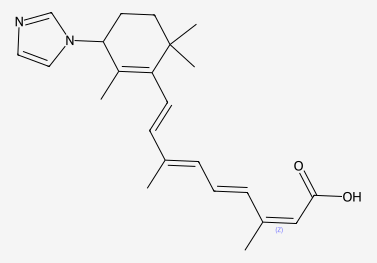 CC(C=CC1=C(C)C(n2ccnc2)CCC1(C)C)=CC=C/C(C)=C\C(=O)O